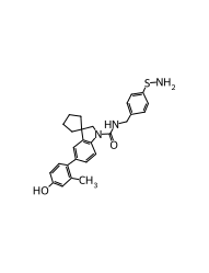 Cc1cc(O)ccc1-c1ccc2c(c1)C1(CCCC1)CN2C(=O)NCc1ccc(SN)cc1